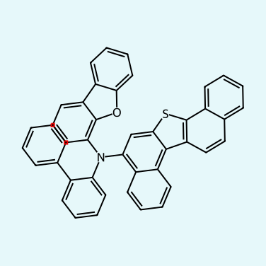 c1ccc(-c2ccccc2N(c2cc3sc4c5ccccc5ccc4c3c3ccccc23)c2cccc3c2oc2ccccc23)cc1